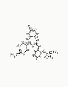 CC(C)Oc1ccncc1CN1Cc2ccc(F)cc2CN(C2CCN(C)CC2)C1